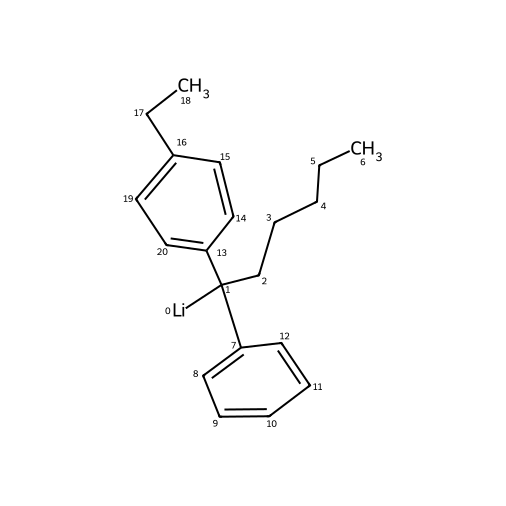 [Li][C](CCCCC)(c1ccccc1)c1ccc(CC)cc1